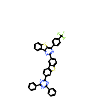 FC(F)(F)c1ccc(-c2nc(-c3ccc4sc5cc(-c6nc(-c7ccccc7)nc(-c7ccccc7)n6)ccc5c4c3)nc3c2sc2ccccc23)cc1